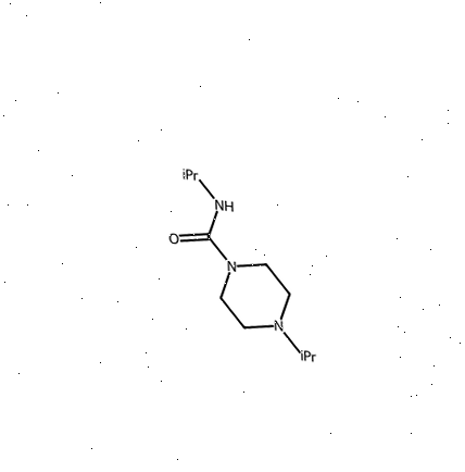 CC(C)NC(=O)N1CCN(C(C)C)CC1